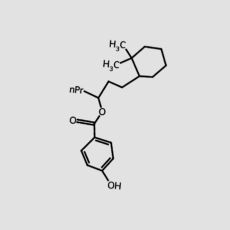 CCCC(CCC1CCCCC1(C)C)OC(=O)c1ccc(O)cc1